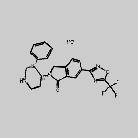 Cl.O=C1c2cc(-c3noc(C(F)(F)F)n3)ccc2CN1[C@H]1CCNC[C@@H]1c1ccccc1